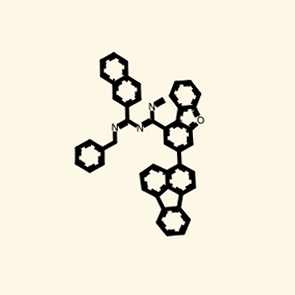 C=N/C(=N\C(=N/Cc1ccccc1)c1ccc2ccccc2c1)c1cc(-c2ccc3c4c(cccc24)-c2ccccc2-3)cc2oc3ccccc3c12